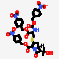 CC(C)(O)[C@@H]1C(=O)N2C(C(=O)OCc3ccc([N+](=O)[O-])cc3)=C(SCC(NC(=O)OCc3ccc([N+](=O)[O-])cc3)C(=O)OCc3ccc([N+](=O)[O-])cc3)C[C@@H]12